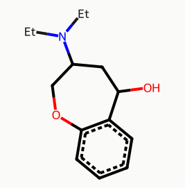 CCN(CC)C1COc2ccccc2C(O)C1